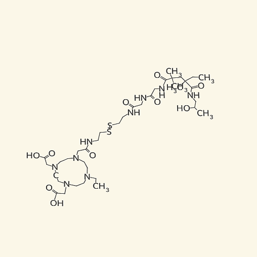 CCN1CCN(CC(=O)O)CCN(CC(=O)O)CCN(CC(=O)NCCSSCCNC(=O)CNC(=O)CNC(=O)C(C)(C)CC(C)(CC)C(=O)NCC(C)O)CC1